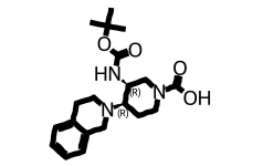 CC(C)(C)OC(=O)N[C@@H]1CN(C(=O)O)CC[C@H]1N1CCc2ccccc2C1